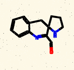 O=CC1=Nc2ccccc2CC12CCCN2